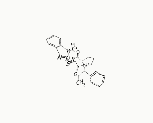 CCC(c1ccccc1)[N+]1(C(=O)CSc2nc3ccccc3n2C)CCC[C@H]1C(N)=O